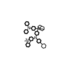 C[Si]1(C)c2ccccc2-c2cc(N(c3ccc(C4CCCCC4)cc3)c3ccc(C4(c5ccc(N(c6ccccc6)c6ccccc6)cc5)C5CC6CC(C5)CC4C6)cc3)ccc21